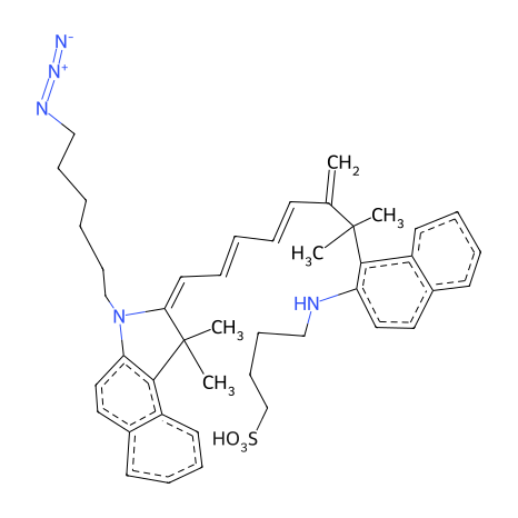 C=C(/C=C/C=C/C=C1/N(CCCCCCN=[N+]=[N-])c2ccc3ccccc3c2C1(C)C)C(C)(C)c1c(NCCCCS(=O)(=O)O)ccc2ccccc12